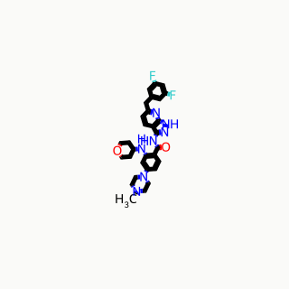 CN1CCN(c2ccc(C(=O)Nc3n[nH]c4nc(Cc5cc(F)cc(F)c5)ccc34)c(NC3CCOCC3)c2)CC1